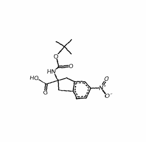 CC(C)(C)OC(=O)NC1(C(=O)O)Cc2ccc([N+](=O)[O-])cc2C1